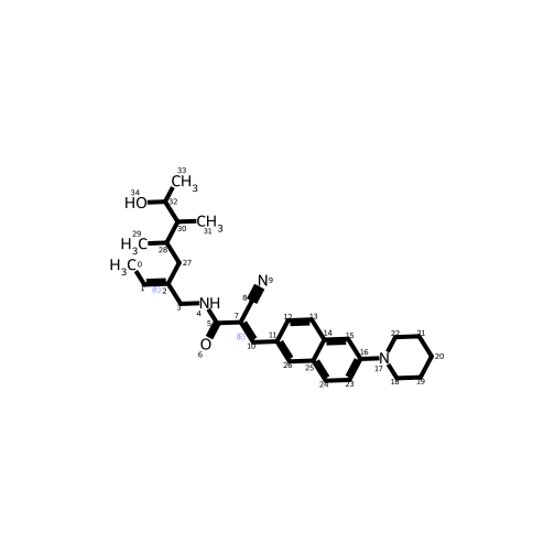 C/C=C(/CNC(=O)/C(C#N)=C/c1ccc2cc(N3CCCCC3)ccc2c1)CC(C)C(C)C(C)O